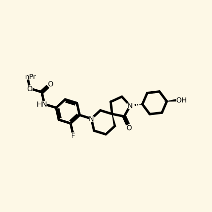 CCCOC(=O)Nc1ccc(N2CCC[C@]3(CCN([C@H]4CC[C@H](O)CC4)C3=O)C2)c(F)c1